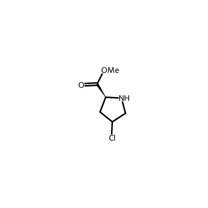 COC(=O)[C@@H]1CC(Cl)CN1